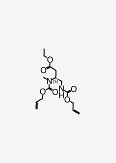 C=CCOC(=O)NC[C@H](CC(=O)OCC)N(C)C(=O)OCC=C